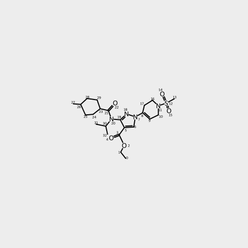 CCOC(=O)c1cn(C2=CCN(S(C)(=O)=O)CC2)nc1N(C(=O)C1CCC(C)CC1)C(C)C